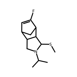 CSC1C2C3CC(C=C3F)C2CN1C(C)C